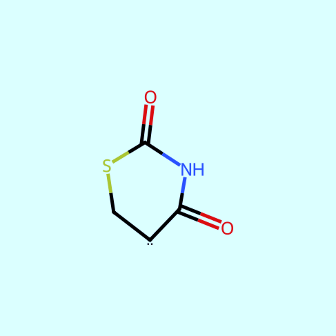 O=C1[C]CSC(=O)N1